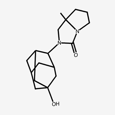 CC12CCCN1C(=O)N(C1C3CC4CC1CC(O)(C4)C3)C2